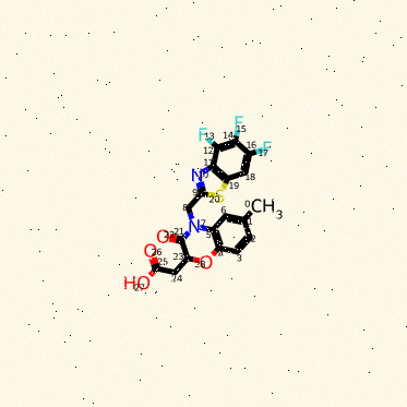 Cc1ccc2c(c1)N(Cc1nc3c(F)c(F)c(F)cc3s1)C(=O)C(CC(=O)O)O2